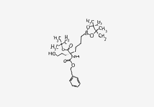 CC(C)(C)OC(=O)[C@@](CCCO)(CCCCB1OC(C)(C)C(C)(C)O1)NC(=O)OCc1ccccc1